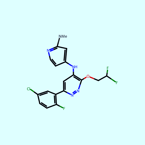 CNc1cc(Nc2cc(-c3cc(Cl)ccc3F)nnc2OCC(F)F)ccn1